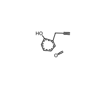 C#CCc1ccccc1O.C=O